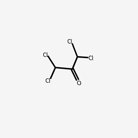 O=C(C(Cl)Cl)C(Cl)Cl